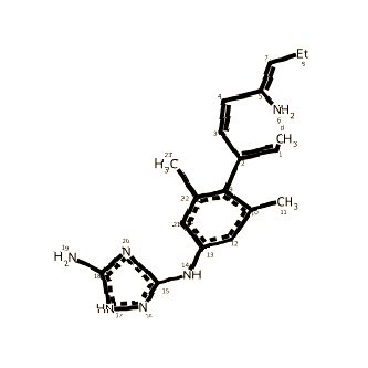 C\C=C(/C=C\C(N)=C\CC)c1c(C)cc(Nc2n[nH]c(N)n2)cc1C